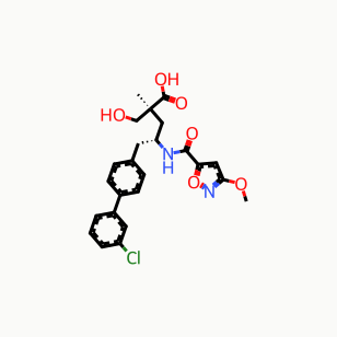 COc1cc(C(=O)N[C@H](Cc2ccc(-c3cccc(Cl)c3)cc2)C[C@@](C)(CO)C(=O)O)on1